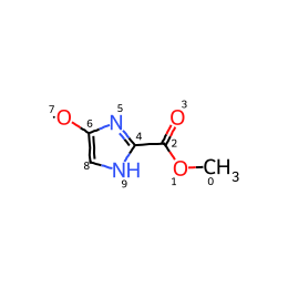 COC(=O)c1nc([O])c[nH]1